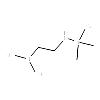 CCCN(CCC)CCN[Si](C)(C)C(C)(C)C